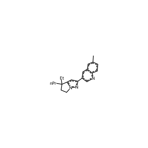 CCCC1(CC)CCn2nc(-c3cnc4ccc(C)cc4c3)cc21